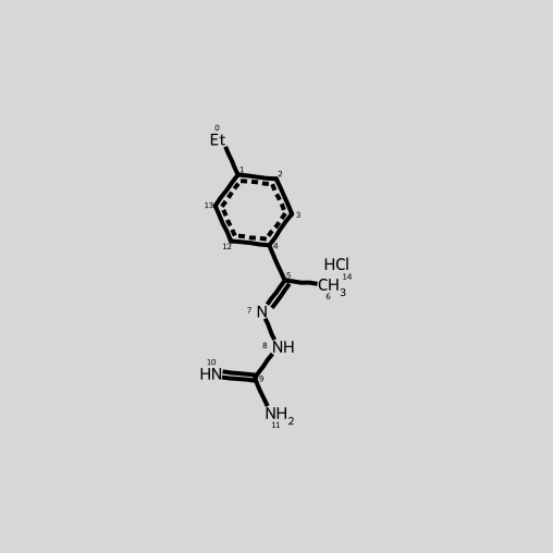 CCc1ccc(/C(C)=N/NC(=N)N)cc1.Cl